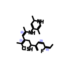 C=C(/C=C\C(F)=C/C)C(S)CC(/C=C(/C)NC1=CC(C)NC=C1C)=C(/C)Cl